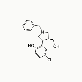 OC[C@@H]1CN(Cc2ccccc2)C[C@@H]1c1cc(Cl)ccc1O